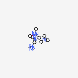 Cc1nc(C)nc(-c2ccc3c(c2)c2ccccc2n3-c2ccc(-c3cccc4c5ccccc5n(-c5ccccc5)c34)cc2-c2nc(-c3ccccc3)nc(-c3ccccc3)n2)n1